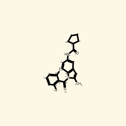 Cc1cc2cc(NC(=O)C3CCCC3)ccc2n1C(=O)c1c(F)cccc1F